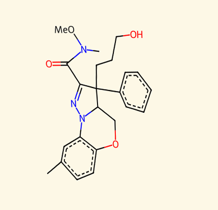 CON(C)C(=O)C1=NN2c3cc(C)ccc3OCC2C1(CCCO)c1ccccc1